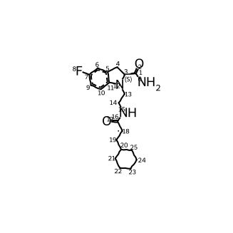 NC(=O)[C@@H]1Cc2cc(F)ccc2N1CCNC(=O)[CH]CC1CCCCC1